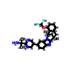 CC(C)(N)c1ncc(-c2ccc3nc4n(c3c2)[C@@H]2C[C@H]4Cc3cccc(OC(F)F)c32)cn1